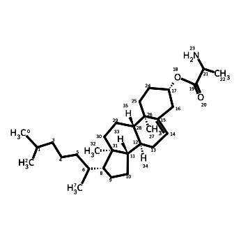 CC(C)CCCC(C)[C@H]1CC[C@H]2[C@@H]3CC=C4C[C@@H](OC(=O)C(C)N)CC[C@]4(C)[C@H]3CC[C@]12C